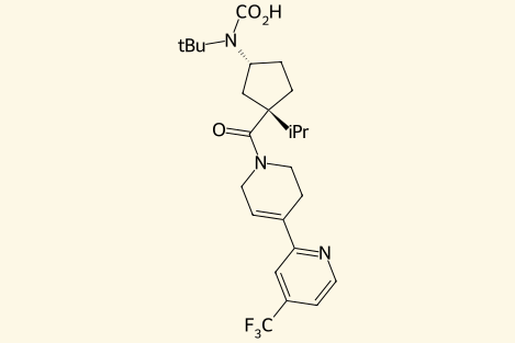 CC(C)[C@]1(C(=O)N2CC=C(c3cc(C(F)(F)F)ccn3)CC2)CC[C@@H](N(C(=O)O)C(C)(C)C)C1